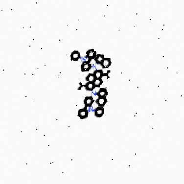 CC(C)c1cc(N(c2ccc3c4ccccc4n(-c4ccccc4)c3c2)c2cccc3c2CCCC3)c2ccc3c(C(C)C)cc(N(c4cccc5c4CCCC5)c4cccc5c4c4ccccc4n5-c4ccccc4)c4ccc1c2c34